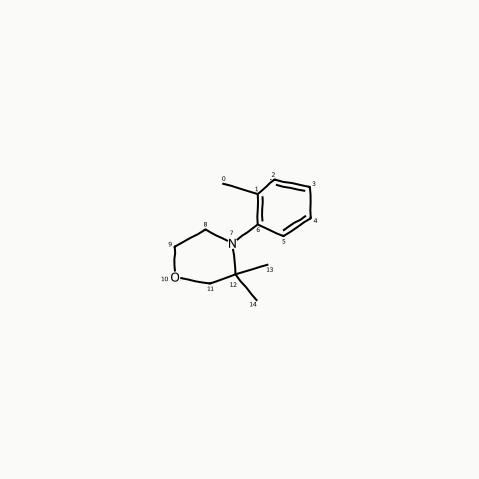 Cc1[c]cccc1N1CCOCC1(C)C